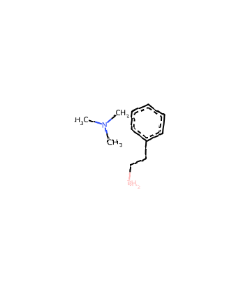 BCCc1ccccc1.CN(C)C